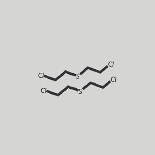 ClCCSCCCl.ClCCSCCCl